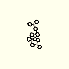 c1ccc(N(c2ccccc2)c2ccc(-c3cccc4c3-c3ccccc3C43c4cccc(N(c5ccccc5)c5ccccc5)c4-c4oc5ccccc5c43)cc2)cc1